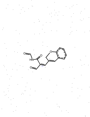 O=CNC(=O)/C(C=O)=C\C1=Cc2ccccc2OC1